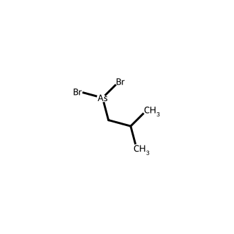 CC(C)C[As](Br)Br